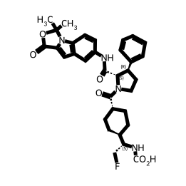 CC1(C)OC(=O)c2cc3cc(NC(=O)[C@@H]4[C@@H](c5ccccc5)CCN4C(=O)[C@H]4CC[C@H]([C@@H](CF)NC(=O)O)CC4)ccc3n21